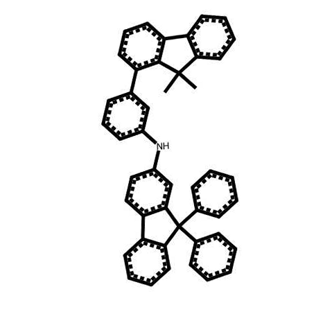 CC1(C)c2ccccc2-c2cccc(-c3cccc(Nc4ccc5c(c4)C(c4ccccc4)(c4ccccc4)c4ccccc4-5)c3)c21